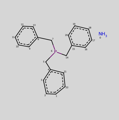 N.c1ccc(CP(Cc2ccccc2)Cc2ccccc2)cc1